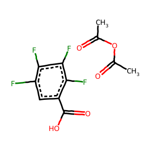 CC(=O)OC(C)=O.O=C(O)c1cc(F)c(F)c(F)c1F